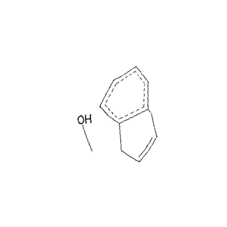 C1=Cc2ccccc2C1.CO